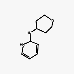 C1=CN[C](NC2CCOCC2)C=C1